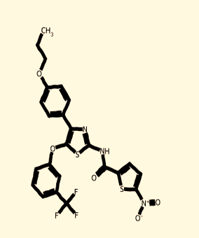 CCCOc1ccc(-c2nc(NC(=O)c3ccc([N+](=O)[O-])s3)sc2Oc2cccc(C(F)(F)F)c2)cc1